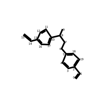 C=Cc1ccc(CCC(C)c2ccc(C=C)cc2)cc1